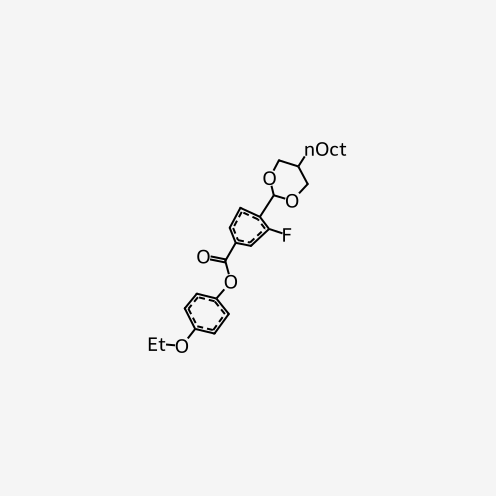 CCCCCCCCC1COC(c2ccc(C(=O)Oc3ccc(OCC)cc3)cc2F)OC1